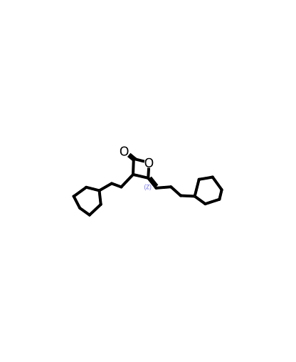 O=C1O/C(=C\CCC2CCCCC2)C1CCC1CCCCC1